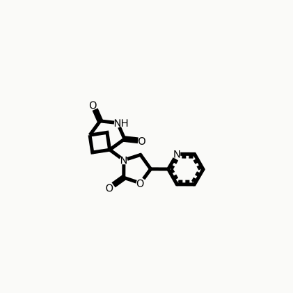 O=C1NC(=O)C2(N3CC(c4ccccn4)OC3=O)CC1C2